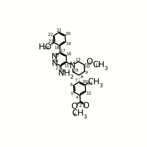 COC(=O)c1ccc([C@H]2C[C@@H](OC)CN(c3cc(-c4ccccc4O)nnc3N)C2)c(C)c1